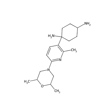 Cc1nc(N2CC(C)OC(C)C2)ccc1C1(N)CCC(N)CC1